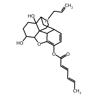 C=CCN1CCC23C4OC5=C(OC(=O)/C=C/C=C/C)C=CC(CC1C2(O)CCC4O)C53